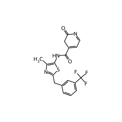 Cc1nc(Cc2cccc(C(F)(F)F)c2)sc1NC(=O)C1=CC=NC(=O)C1